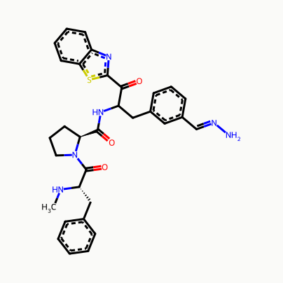 CN[C@@H](Cc1ccccc1)C(=O)N1CCC[C@H]1C(=O)NC(Cc1cccc(C=NN)c1)C(=O)c1nc2ccccc2s1